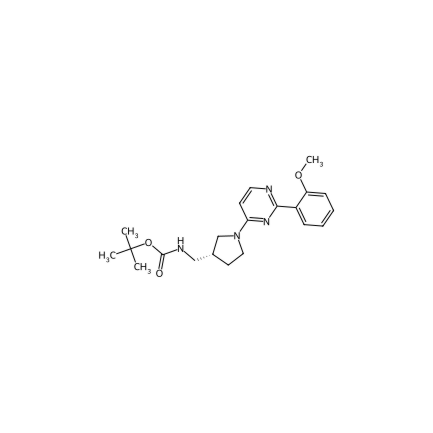 COc1ccccc1-c1nccc(N2CC[C@H](CNC(=O)OC(C)(C)C)C2)n1